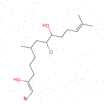 CC(C)=CCCC(O)C(Cl)CC(C)CCCC(O)=CBr